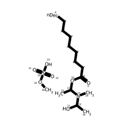 CCCCCCCCCCCCCCCCCC(=O)OC(C)N(C)C(C)O.COS(=O)(=O)O